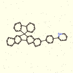 c1ccc(-c2ccc(-c3ccc4cc5c(cc4c3)C3(c4ccccc4-c4ccccc43)c3cc4ccccc4cc3-5)cc2)nc1